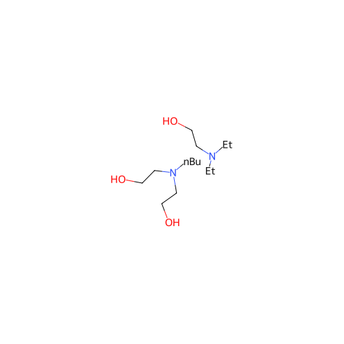 CCCCN(CCO)CCO.CCN(CC)CCO